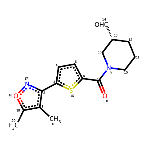 Cc1c(-c2ccc(C(=O)N3CCC[C@@H](C=O)C3)s2)noc1C(F)(F)F